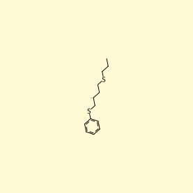 CCCSCC[CH]CSc1ccccc1